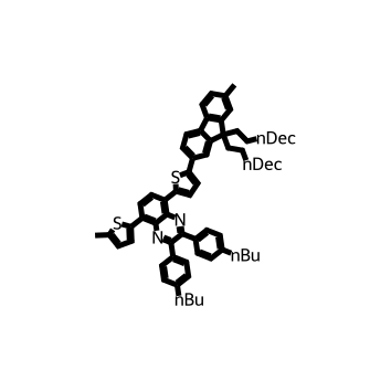 CCCCCCCCCCCCC1(CCCCCCCCCCCC)c2cc(C)ccc2-c2ccc(-c3ccc(-c4ccc(-c5ccc(C)s5)c5nc(-c6ccc(CCCC)cc6)c(-c6ccc(CCCC)cc6)nc45)s3)cc21